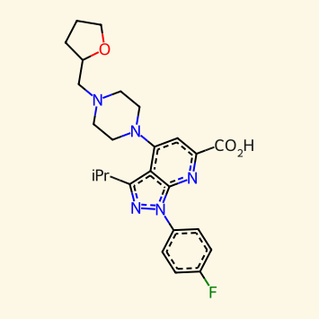 CC(C)c1nn(-c2ccc(F)cc2)c2nc(C(=O)O)cc(N3CCN(CC4CCCO4)CC3)c12